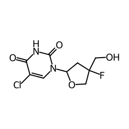 O=c1[nH]c(=O)n(C2CC(F)(CO)CO2)cc1Cl